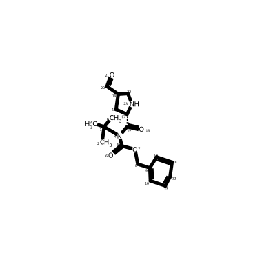 CC(C)(C)N(C(=O)OCc1ccccc1)C(=O)[C@@H]1CC(C=O)CN1